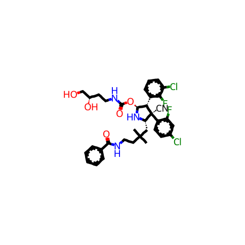 CC(C)(CCNC(=O)c1ccccc1)C[C@@H]1N[C@H](OC(=O)NCC[C@H](O)CO)[C@H](c2cccc(Cl)c2F)[C@@]1(C#N)c1ccc(Cl)cc1F